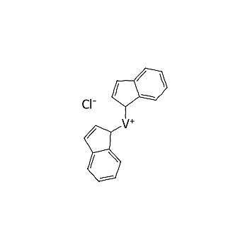 C1=C[CH]([V+][CH]2C=Cc3ccccc32)c2ccccc21.[Cl-]